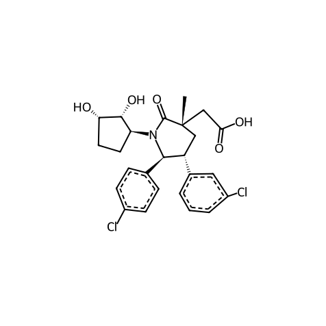 C[C@@]1(CC(=O)O)C[C@H](c2cccc(Cl)c2)[C@@H](c2ccc(Cl)cc2)N([C@H]2CC[C@H](O)[C@@H]2O)C1=O